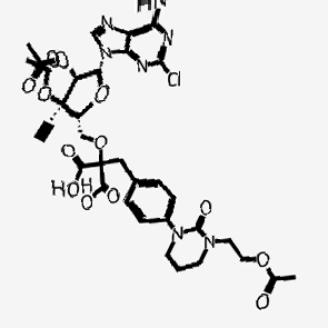 C#C[C@@]1(OC(C)=O)[C@@H](COC(Cc2ccc(N3CCCN(CCOC(C)=O)C3=O)cc2)(C(=O)O)C(=O)O)O[C@@H](n2cnc3c(NC)nc(Cl)nc32)[C@@H]1OC(C)=O